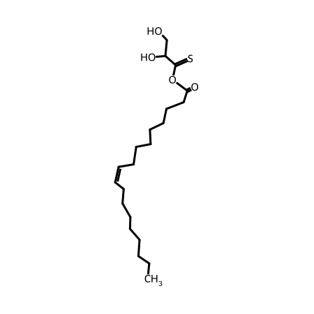 CCCCCCCC/C=C\CCCCCCCC(=O)OC(=S)C(O)CO